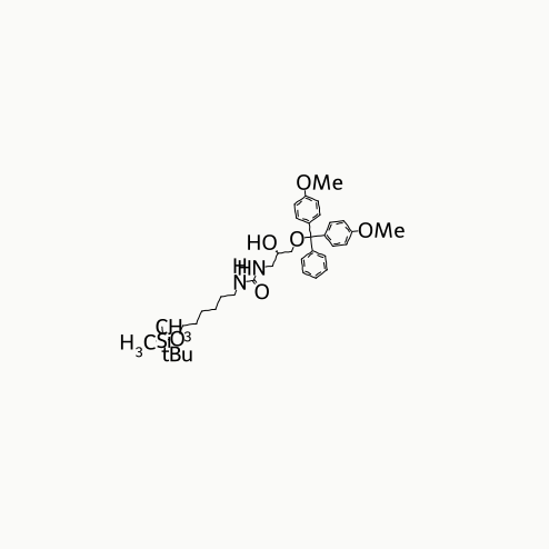 COc1ccc(C(OC[C@H](O)CNC(=O)NCCCCCCO[Si](C)(C)C(C)(C)C)(c2ccccc2)c2ccc(OC)cc2)cc1